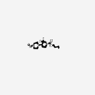 CCCCOC(=O)N1CCC(N2CCN(N=O)CC2)C(F)(F)C1